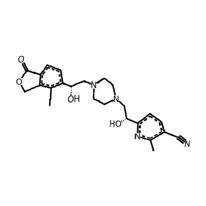 Cc1nc([C@H](O)CN2CCN(C[C@H](O)c3ccc4c(c3C)COC4=O)CC2)ccc1C#N